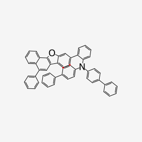 c1ccc(-c2ccc(N(c3ccc(-c4ccccc4)cc3)c3ccccc3-c3ccc4c(c3)oc3c5ccccc5c(-c5ccccc5)cc43)cc2)cc1